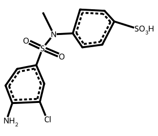 CN(c1ccc(S(=O)(=O)O)cc1)S(=O)(=O)c1ccc(N)c(Cl)c1